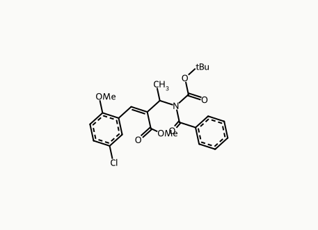 COC(=O)C(=Cc1cc(Cl)ccc1OC)C(C)N(C(=O)OC(C)(C)C)C(=O)c1ccccc1